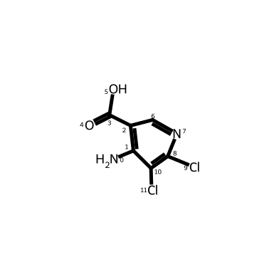 Nc1c(C(=O)O)cnc(Cl)c1Cl